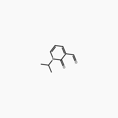 CC(C)n1cccc(C=O)c1=O